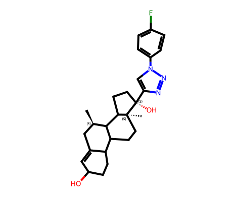 C[C@@H]1CC2=CC(O)CCC2C2CC[C@@]3(C)C(CC[C@@]3(O)c3cn(-c4ccc(F)cc4)nn3)C21